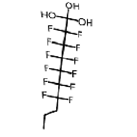 CCCC(F)(F)C(F)(F)C(F)(F)C(F)(F)C(F)(F)C(F)(F)C(O)(O)O